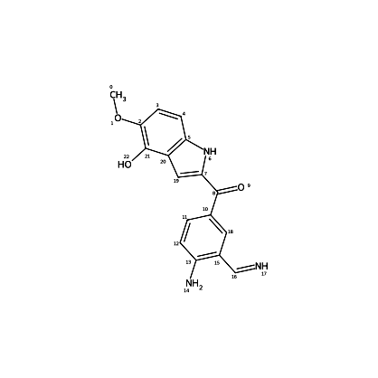 COc1ccc2[nH]c(C(=O)c3ccc(N)c(C=N)c3)cc2c1O